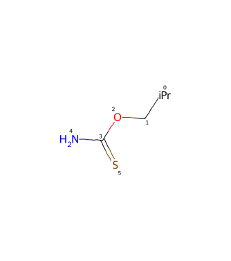 CC(C)COC(N)=S